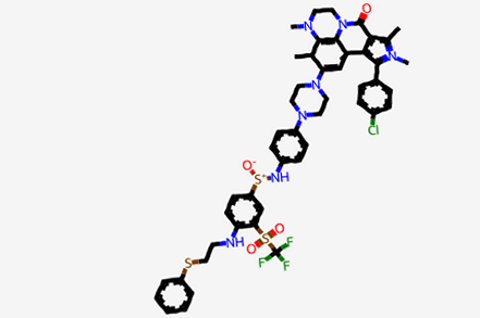 Cc1c2c(c(-c3ccc(Cl)cc3)n1C)C1(C)C=C(N3CCN(c4ccc(N[S+]([O-])c5ccc(NCCSc6ccccc6)c(S(=O)(=O)C(F)(F)F)c5)cc4)CC3)C(C)C3=C1N(CCN3C)C2=O